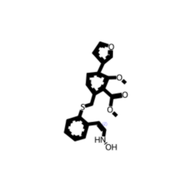 COC(=O)c1c(CSc2ccccc2/C=C\NO)ccc(-c2ccoc2)c1OC